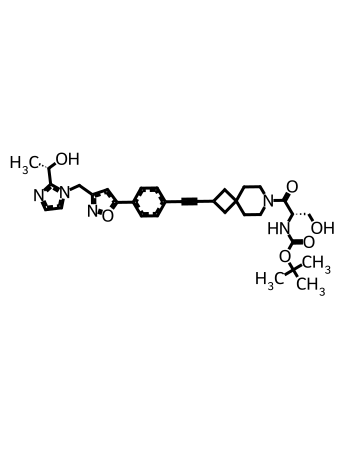 C[C@H](O)c1nccn1Cc1cc(-c2ccc(C#CC3CC4(CCN(C(=O)[C@H](CO)NC(=O)OC(C)(C)C)CC4)C3)cc2)on1